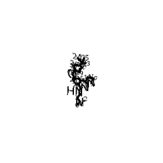 CN(C)CCNc1nc2ncccc2c2cc(Oc3ccc(C(C)(C)C)cc3)ccc12